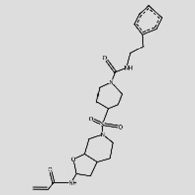 C=CC(=O)NC1CC2CCN(S(=O)(=O)C3CCN(C(=O)NCCc4ccccc4)CC3)CC2O1